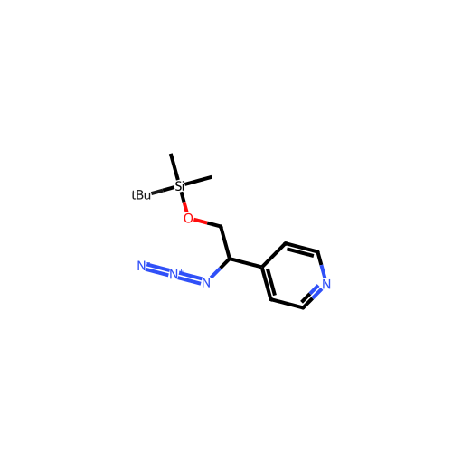 CC(C)(C)[Si](C)(C)OCC(N=[N+]=[N-])c1ccncc1